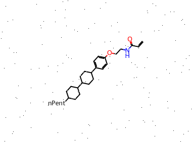 C=CC(=O)NCCOc1ccc(C2CCC(C3CCC(CCCCC)CC3)CC2)cc1